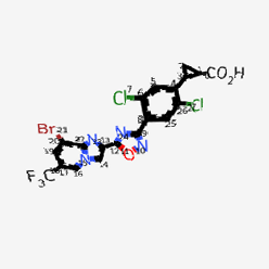 O=C(O)C1CC1c1cc(Cl)c(-c2noc(-c3cn4cc(C(F)(F)F)cc(Br)c4n3)n2)cc1Cl